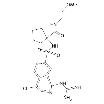 COCCNC(=O)C1(NS(=O)(=O)c2ccc3c(Cl)cnc(NC(=N)N)c3c2)CCCC1